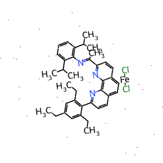 CCc1cc(CC)c(-c2ccc3ccc4ccc(C(C)=Nc5c(C(C)C)cccc5C(C)C)nc4c3n2)c(CC)c1.[Cl][Fe][Cl]